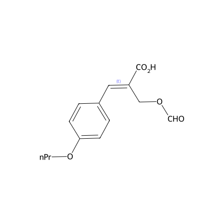 CCCOc1ccc(/C=C(\COC=O)C(=O)O)cc1